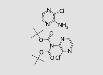 CC(C)(C)OC(=O)N(C(=O)OC(C)(C)C)c1nccnc1Cl.Nc1nccnc1Cl